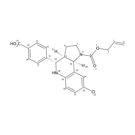 C=CCOC(=O)N1CC[C@@H]2[C@@H](c3ccc(C(=O)O)cc3)Nc3ccc(Cl)cc3[C@@H]21